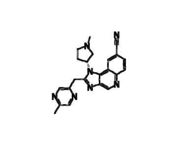 Cc1cnc(Cc2nc3cnc4ccc(C#N)cc4c3n2[C@@H]2CCN(C)C2)cn1